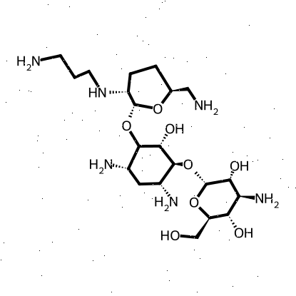 NCCCN[C@@H]1CC[C@@H](CN)O[C@@H]1OC1[C@@H](N)C[C@@H](N)[C@H](O[C@H]2O[C@H](CO)[C@@H](O)[C@H](N)[C@H]2O)[C@H]1O